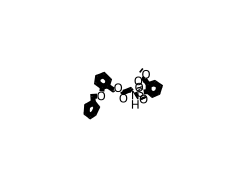 COC(=O)c1ccccc1S(=O)(=O)NCC(=O)OCc1ccccc1OCc1ccccc1